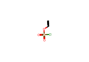 C=COS(=O)(=O)Cl